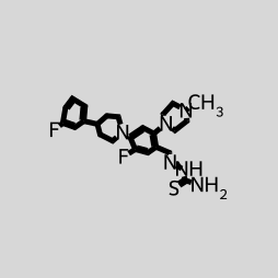 CN1CCN(c2cc(N3CCC(c4cccc(F)c4)CC3)c(F)cc2C=NNC(N)=S)CC1